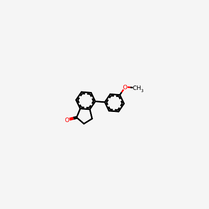 COc1cccc(-c2cccc3c2CCC3=O)c1